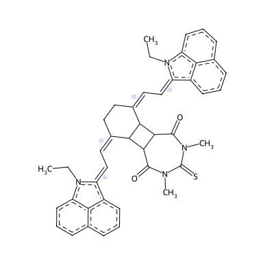 CCn1/c(=C\C=C2\CC/C(=C/C=c3/c4cccc5cccc(c54)n3CC)C3C4C(=O)N(C)C(=S)N(C)C(=O)C4C23)c2cccc3cccc1c32